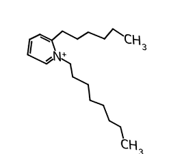 CCCCCCCC[n+]1ccccc1CCCCCC